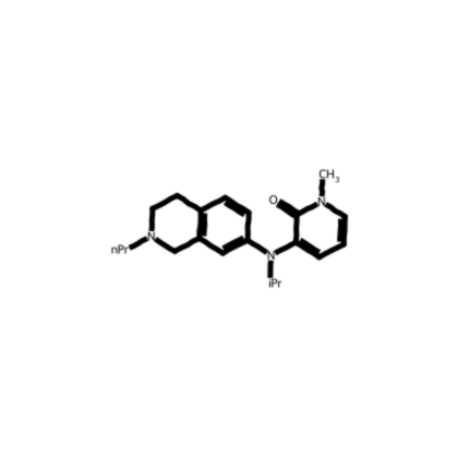 CCCN1CCc2ccc(N(c3cccn(C)c3=O)C(C)C)cc2C1